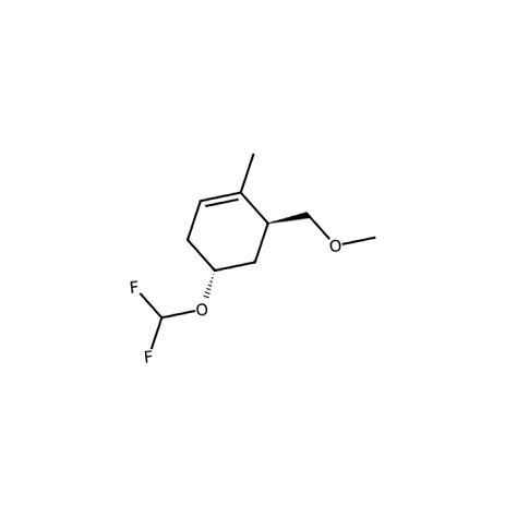 COC[C@H]1C[C@H](OC(F)F)CC=C1C